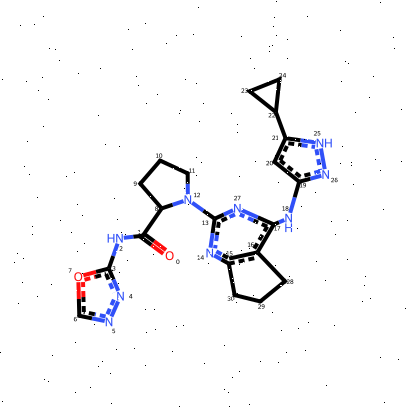 O=C(Nc1nnco1)C1CCCN1c1nc2c(c(Nc3cc(C4CC4)[nH]n3)n1)CCC2